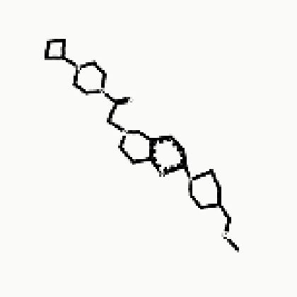 COCC1CCN(c2ccc3c(n2)CCN(CC(=O)N2CCN(C4CCC4)CC2)C3)CC1